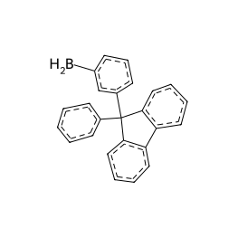 Bc1cccc(C2(c3ccccc3)c3ccccc3-c3ccccc32)c1